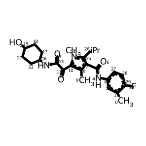 Cc1cc(NC(=O)c2c(C)c(C(=O)C(=O)NC3CCC(O)CC3)n(C)c2C(C)C)ccc1F